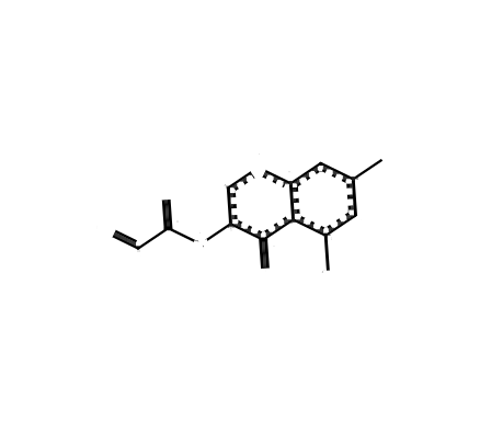 Cc1cc(C)c2c(=O)c(NC(=O)C=O)coc2c1